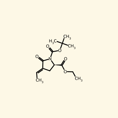 C/C=C1\C[C@H](C(=O)OCC)N(C(=O)OC(C)(C)C)C1=O